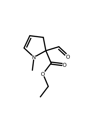 CCOC(=O)C1(C=O)CC=CN1C